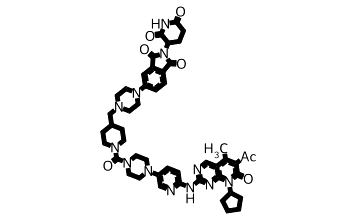 CC(=O)c1c(C)c2cnc(Nc3ccc(N4CCN(C(=O)N5CCC(CN6CCN(c7ccc8c(c7)C(=O)N(C7CCC(=O)NC7=O)C8=O)CC6)CC5)CC4)cn3)nc2n(C2CCCC2)c1=O